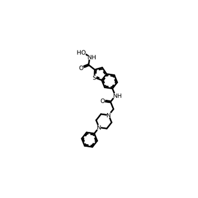 O=C(CN1CCN(c2ccccc2)CC1)Nc1ccc2cc(C(=O)NO)sc2c1